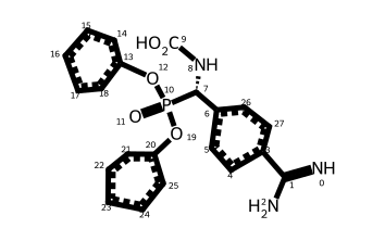 N=C(N)c1ccc([C@@H](NC(=O)O)P(=O)(Oc2ccccc2)Oc2ccccc2)cc1